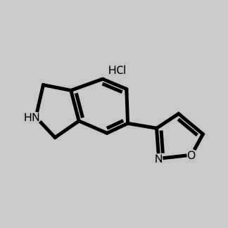 Cl.c1cc(-c2ccc3c(c2)CNC3)no1